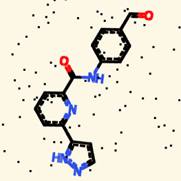 O=Cc1ccc(NC(=O)c2cccc(-c3ccn[nH]3)n2)cc1